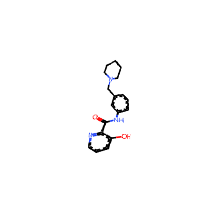 O=C(Nc1cccc(CN2CCCCC2)c1)c1ncccc1O